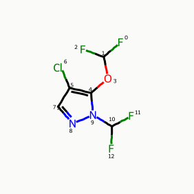 FC(F)Oc1c(Cl)[c]nn1C(F)F